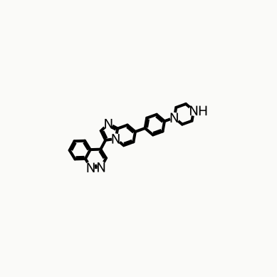 c1ccc2c(-c3cnc4cc(-c5ccc(N6CCNCC6)cc5)ccn34)cnnc2c1